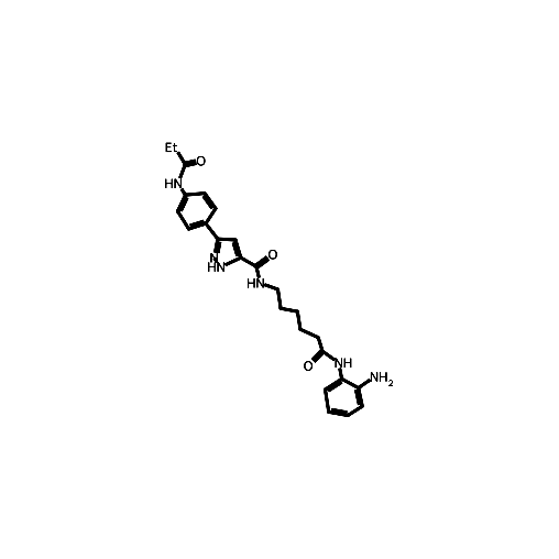 CCC(=O)Nc1ccc(-c2cc(C(=O)NCCCCCC(=O)Nc3ccccc3N)[nH]n2)cc1